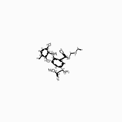 CCOCOC(=O)c1ccccc1Nc1c(Cl)ccc(C)c1Cl.NCC(=O)O